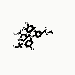 CCOC(=O)c1ccc(N2C(=O)[C@]3(c4ccc(Cl)cc42)[C@H](CC(C)(C)CF)N[C@@H](C(N)=O)[C@@H]3c2cccc(Cl)c2F)c(OC)c1